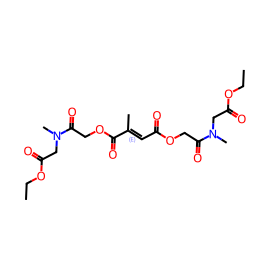 CCOC(=O)CN(C)C(=O)COC(=O)/C=C(\C)C(=O)OCC(=O)N(C)CC(=O)OCC